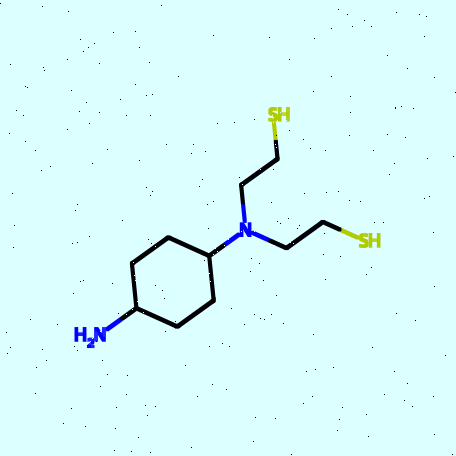 NC1CCC(N(CCS)CCS)CC1